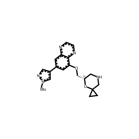 CC(C)(C)n1cc(-c2cc(OC[C@@H]3CNCC4(CC4)O3)c3nccnc3c2)cn1